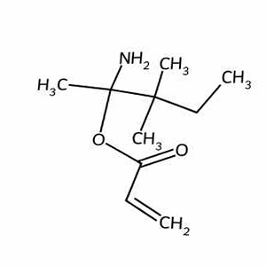 C=CC(=O)OC(C)(N)C(C)(C)CC